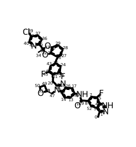 Cc1n[nH]c2c(F)cc(C(=O)Nc3ccc4c(c3)nc(Cc3c(F)cc(-c5cccc6c5O[C@](C)(c5ccc(Cl)cn5)O6)cc3F)n4C[C@@H]3CCO3)cc12